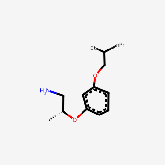 CCCC(CC)COc1cccc(O[C@H](C)CN)c1